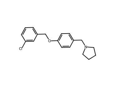 Clc1cccc(COc2ccc(CN3CCCC3)cc2)c1